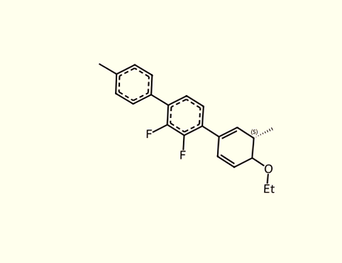 CCOC1C=CC(c2ccc(-c3ccc(C)cc3)c(F)c2F)=C[C@@H]1C